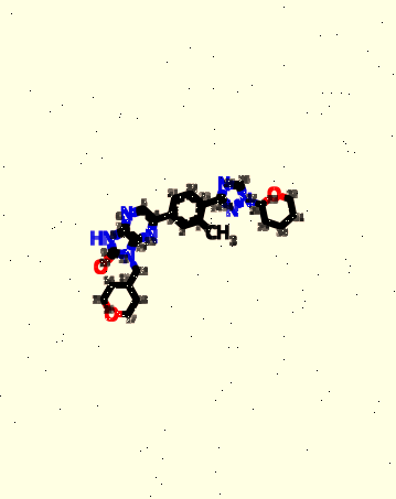 Cc1cc(-c2cnc3[nH]c(=O)n(CC4CCOCC4)c3n2)ccc1-c1ncn(C2CCCCO2)n1